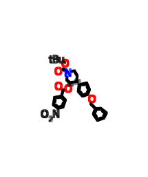 CC(C)(C)OC(=O)N1CC[C@H](c2ccc(OCc3ccccc3)cc2)[C@H](OC(=O)c2ccc([N+](=O)[O-])cc2)C1